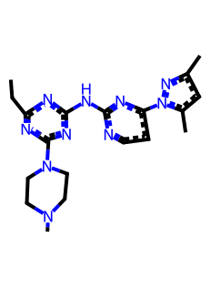 CCc1nc(Nc2nccc(-n3nc(C)cc3C)n2)nc(N2CCN(C)CC2)n1